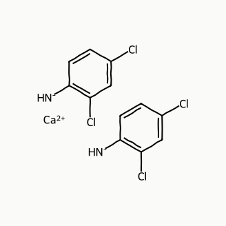 [Ca+2].[NH-]c1ccc(Cl)cc1Cl.[NH-]c1ccc(Cl)cc1Cl